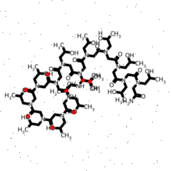 C=C(CNCC(C)O)N(CC(=O)N(CC(=O)N(CC(=O)N(CC(=O)N(CC(=O)N(CC(=O)N(CC(=O)N(CC(=O)N(CC(=O)N(CC(=O)N(CC(=O)N(CC(=O)N(CC(N)=O)CC(C)O)CC(C)O)CC(C)O)CC(C)O)CC(C)O)CC(C)O)CC(C)O)CC(C)O)CC(C)O)CC(C)O)CC(C)O)CC(C)O)CC(C)O